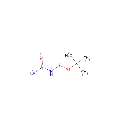 CC(C)(C)O[CH]NC(N)=O